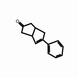 O=C1CC2C=C(c3ccccc3)CC2C1